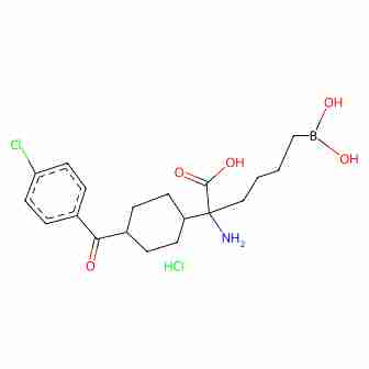 Cl.NC(CCCCB(O)O)(C(=O)O)C1CCC(C(=O)c2ccc(Cl)cc2)CC1